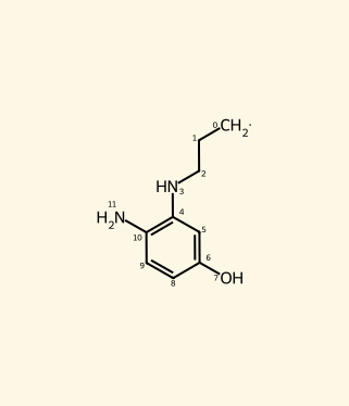 [CH2]CCNc1cc(O)ccc1N